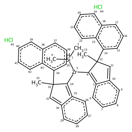 C[SiH](C)[Zr]([C]1=c2ccccc2=CC1(C)c1cccc2ccccc12)[C]1=c2ccccc2=CC1(C)c1cccc2ccccc12.Cl.Cl